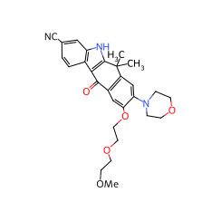 COCCOCCOc1cc2c(cc1N1CCOCC1)C(C)(C)c1[nH]c3cc(C#N)ccc3c1C2=O